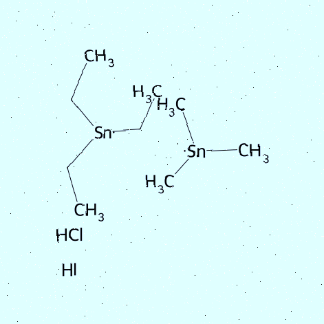 C[CH2][Sn]([CH2]C)[CH2]C.Cl.I.[CH3][Sn]([CH3])[CH3]